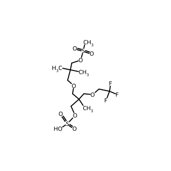 CC(C)(COCC(C)(COCC(F)(F)F)COS(=O)(=O)O)COS(C)(=O)=O